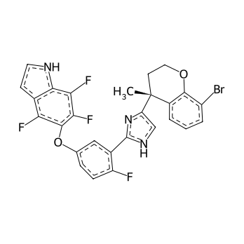 C[C@@]1(c2c[nH]c(-c3cc(Oc4c(F)c(F)c5[nH]ccc5c4F)ccc3F)n2)CCOc2c(Br)cccc21